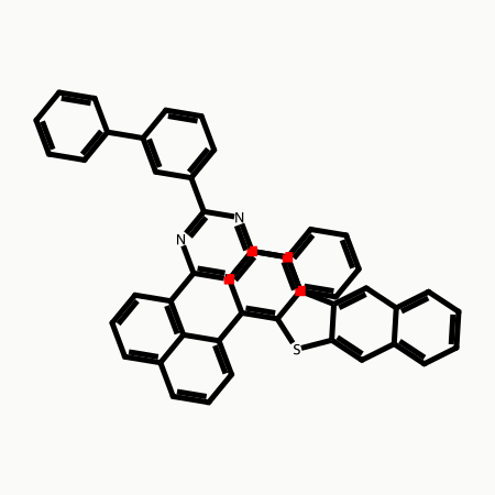 c1ccc(-c2cccc(-c3nc(-c4ccccc4)nc(-c4cccc5cccc(-c6cccc7c6sc6cc8ccccc8cc67)c45)n3)c2)cc1